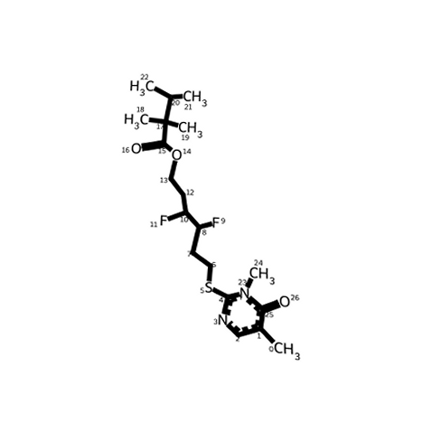 Cc1cnc(SCCC(F)C(F)CCOC(=O)C(C)(C)C(C)C)n(C)c1=O